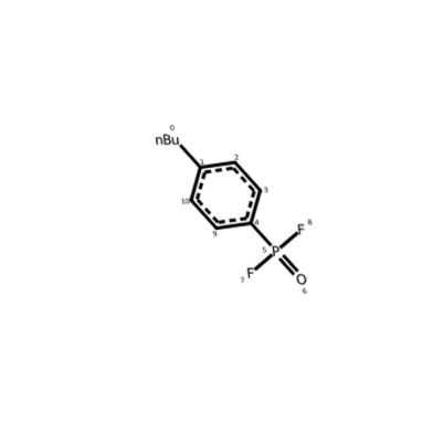 CCCCc1ccc(P(=O)(F)F)cc1